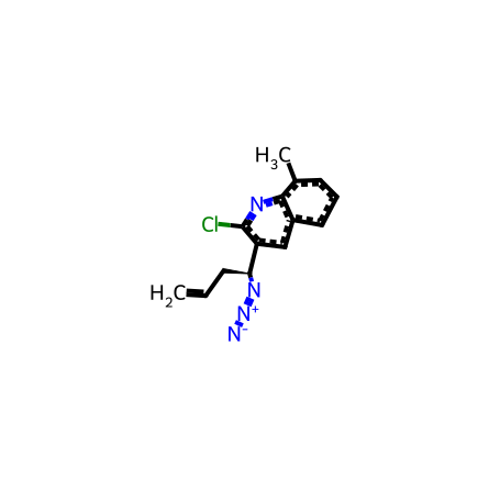 C=CC[C@H](N=[N+]=[N-])c1cc2cccc(C)c2nc1Cl